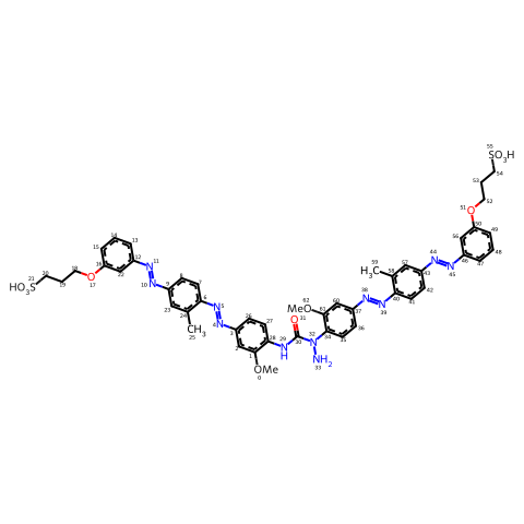 COc1cc(N=Nc2ccc(N=Nc3cccc(OCCCS(=O)(=O)O)c3)cc2C)ccc1NC(=O)N(N)c1ccc(N=Nc2ccc(N=Nc3cccc(OCCCS(=O)(=O)O)c3)cc2C)cc1OC